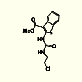 COC(=O)c1c(NC(=O)NCCCl)sc2ccccc12